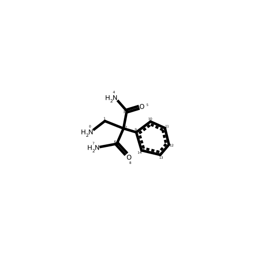 NCC(C(N)=O)(C(N)=O)c1ccccc1